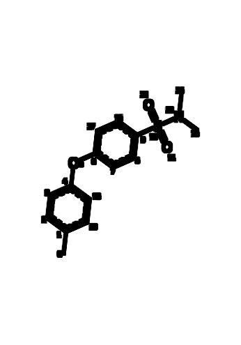 Cc1ccc(Oc2ccc(S(=O)(=O)N(C)C)cc2)cc1